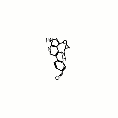 O=Cc1ccc(-c2cnc3[nH]cc(Cl)c3c2NC2CC2)cc1